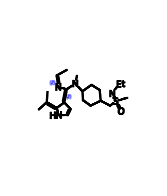 C/C=N\C(=c1\cc[nH]c1=C(C)C)N(C)C1CCC(CS(C)(=O)=NCC)CC1